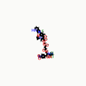 COc1c(N2CC3CCCNC3C2)c(F)c(C)c2c(=O)c(C(=O)OCOC(=O)CCC(=O)OC[C@@H](NC(=O)C(C)(Cl)Cl)[C@H](O)c3ccc([N+](=O)[O-])cc3)c(C)n(C3CC3)c12